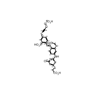 CO/C=N\c1cc(Nc2nc(Cl)nc(SCC(=O)O)n2)ccc1N=Nc1ccc(SC#COOS(=O)(=O)O)cc1S(=O)(=O)O